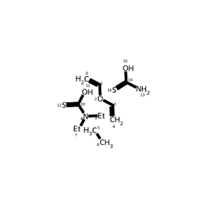 C=COC=C.CC.CCN(CC)C(O)=S.NC(O)=S